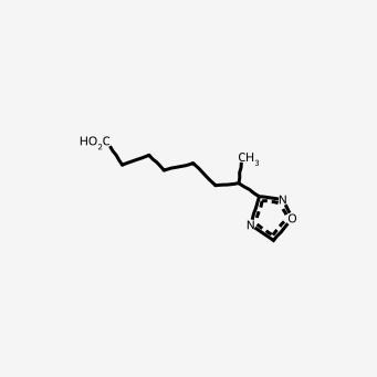 CC(CCCCCC(=O)O)c1ncon1